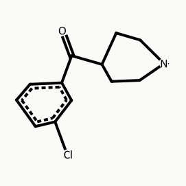 O=C(c1cccc(Cl)c1)C1CC[N]CC1